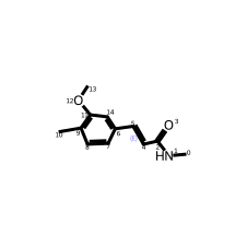 CNC(=O)/C=C/c1ccc(C)c(OC)c1